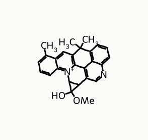 COC1(O)C2c3cnc4cccc5c4c3-c3c(cc4c(C)cccc4[n+]3C21)C5(C)C